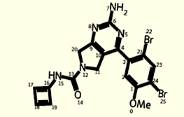 COc1cc(-c2nc(N)nc3c2CN(C(=O)NC2=CC=C2)C3)c(Br)cc1Br